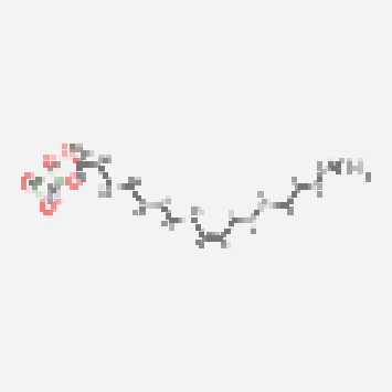 CCCCCCCC/C=C\CCCCCCCC(=O)O[Cl+3]([O-])([O-])[O-]